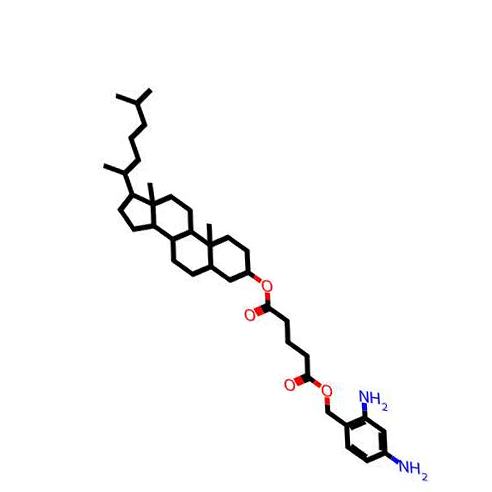 CC(C)CCCC(C)C1CCC2C3CCC4CC(OC(=O)CCCC(=O)OCc5ccc(N)cc5N)CCC4(C)C3CCC12C